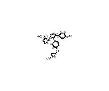 CCCN1CC(Oc2ccc(-c3c(-c4snnc4C)noc3-c3ccc(O)cc3)cc2)C1.Cl